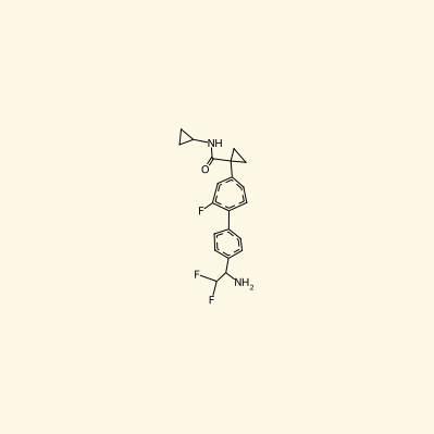 NC(c1ccc(-c2ccc(C3(C(=O)NC4CC4)CC3)cc2F)cc1)C(F)F